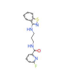 O=C(NCCCNc1nsc2ccccc12)c1cccc(F)n1